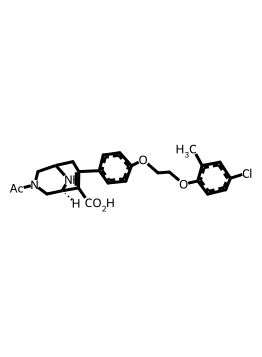 CC(=O)N1CC2CC(c3ccc(OCCOc4ccc(Cl)cc4C)cc3)=C(C(=O)O)[C@@H](C1)N2